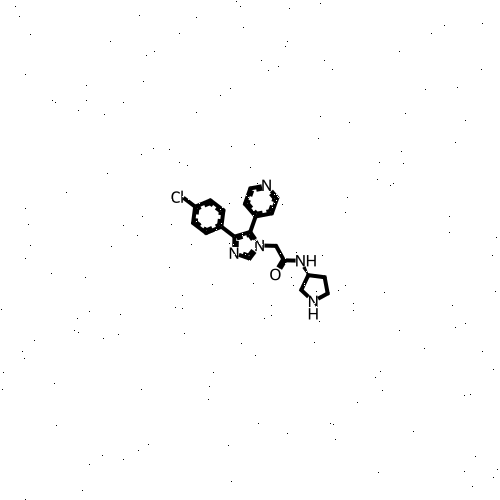 O=C(Cn1cnc(-c2ccc(Cl)cc2)c1-c1ccncc1)N[C@H]1CCNC1